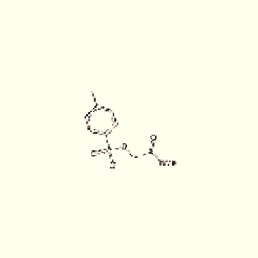 CNC(=O)COS(=O)(=O)c1ccc(C)cc1